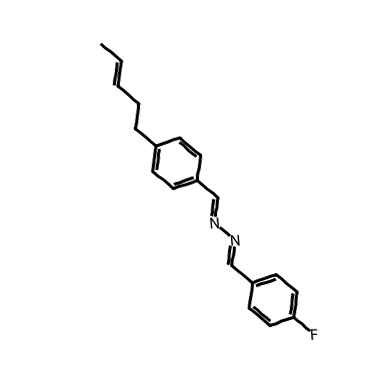 CC=CCCc1ccc(C=NN=Cc2ccc(F)cc2)cc1